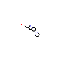 O=COCCc1cnc2ccc(N3CCCCC3)cc2c1